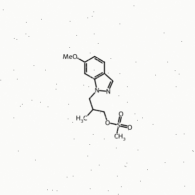 COc1ccc2cnn(CC(C)COS(C)(=O)=O)c2c1